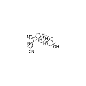 C[C@@]1(O)CC[C@H]2[C@H](CC[C@@H]3[C@@H]2CC[C@]2(C)[C@@H](C4(Cn5cc(C#N)cn5)COC4)CC[C@@H]32)C1